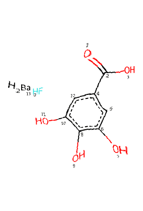 F.O=C(O)c1cc(O)c(O)c(O)c1.[BaH2]